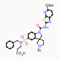 COc1ccc2nc(NC(=O)N3CC4(CCN(C(C)=O)C4)c4cc(S(=O)(=O)N(CCC(=O)O)Cc5ccccc5)ccc43)sc2n1